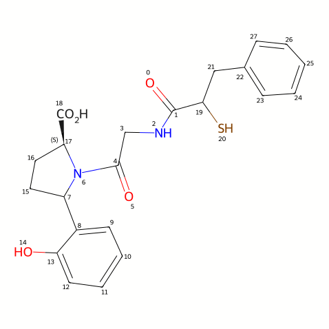 O=C(NCC(=O)N1C(c2ccccc2O)CC[C@H]1C(=O)O)C(S)Cc1ccccc1